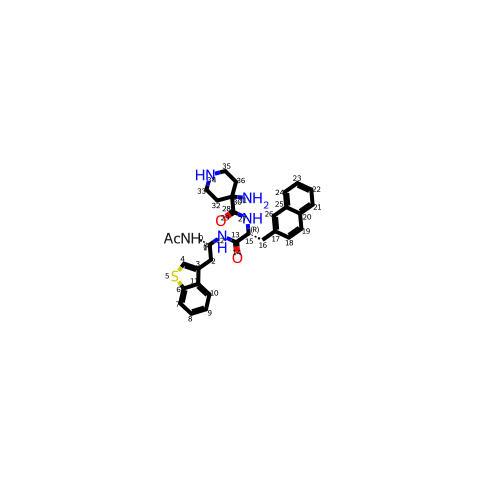 CC(=O)N[C@@H](Cc1csc2ccccc12)NC(=O)[C@@H](Cc1ccc2ccccc2c1)NC(=O)C1(N)CCNCC1